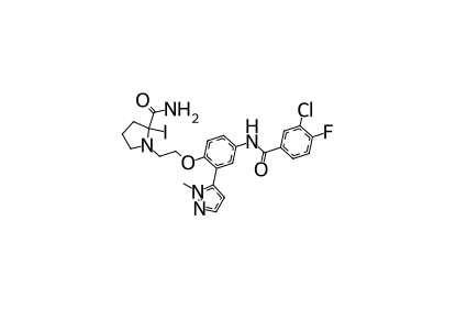 Cn1nccc1-c1cc(NC(=O)c2ccc(F)c(Cl)c2)ccc1OCCN1CCCC1(I)C(N)=O